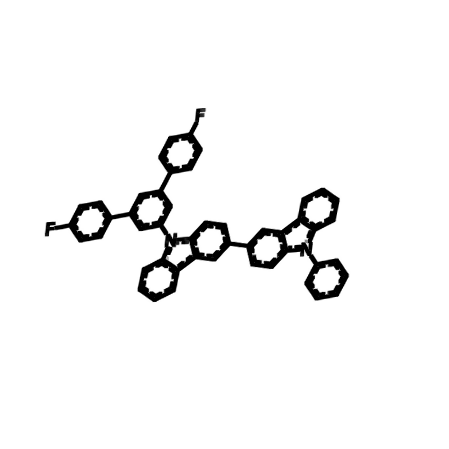 Fc1ccc(-c2cc(-c3ccc(F)cc3)cc(-n3c4ccccc4c4cc(-c5ccc6c(c5)c5ccccc5n6-c5ccccc5)ccc43)c2)cc1